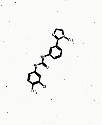 Cc1ccc(NC(=O)Nc2cccc(C3=NCCN3C)c2)cc1Cl